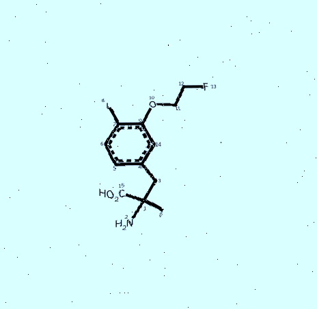 CC(N)(Cc1ccc(I)c(OCCF)c1)C(=O)O